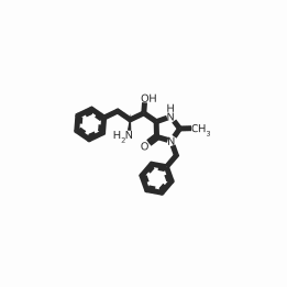 CC1NC(C(O)[C@@H](N)Cc2ccccc2)C(=O)N1Cc1ccccc1